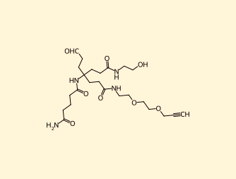 C#CCOCCOCCNC(=O)CCC(CCC=O)(CCC(=O)NCCO)NC(=O)CCCC(N)=O